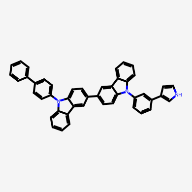 c1ccc(-c2ccc(-n3c4ccccc4c4cc(-c5ccc6c(c5)c5ccccc5n6-c5cccc(-c6cc[nH]c6)c5)ccc43)cc2)cc1